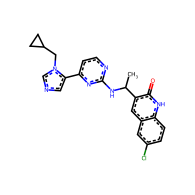 CC(Nc1nccc(-c2cncn2CC2CC2)n1)c1cc2cc(Cl)ccc2[nH]c1=O